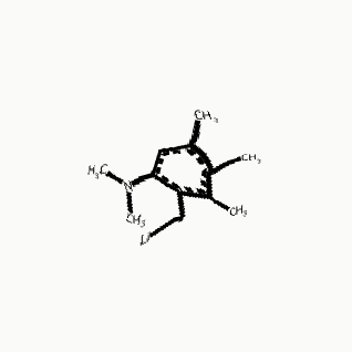 [Li][CH2]c1c(N(C)C)cc(C)c(C)c1C